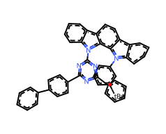 CC(C)(C)c1cccc(-n2c3ccccc3c3ccc4c5ccccc5n(-c5nc(-c6ccccc6)nc(-c6ccc(-c7ccccc7)cc6)n5)c4c32)c1